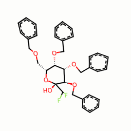 O[C@@]1(C(F)F)O[C@H](COCc2ccccc2)[C@H](OCc2ccccc2)[C@H](OCc2ccccc2)[C@H]1OCc1ccccc1